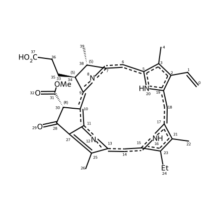 C=Cc1c(C)c2cc3nc(c4c5nc(cc6[nH]c(cc1[nH]2)c(C)c6CC)C(C)=C5C(=O)[C@@H]4C(=O)OC)[C@@H](CCC(=O)O)[C@@H]3C